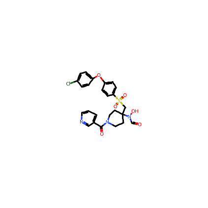 O=CN(O)C1(CS(=O)(=O)c2ccc(Oc3ccc(Cl)cc3)cc2)CCN(C(=O)c2cccnc2)CC1